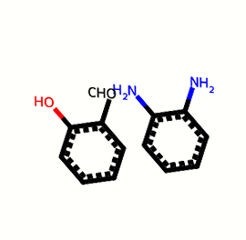 Nc1ccccc1N.O=Cc1ccccc1O